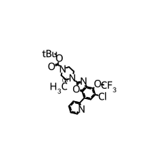 C[C@H]1CN(C(=O)OC(C)(C)C)CCN1c1nc2c(OC(F)(F)F)c(Cl)cc(-c3ccccn3)c2o1